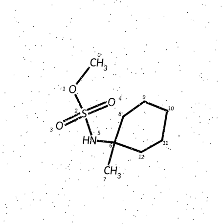 COS(=O)(=O)NC1(C)CCCCC1